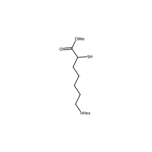 CCCCCCCCC[CH]CC(S)C(=O)OC